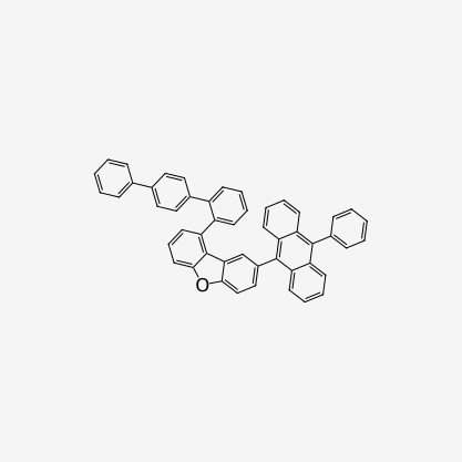 c1ccc(-c2ccc(-c3ccccc3-c3cccc4oc5ccc(-c6c7ccccc7c(-c7ccccc7)c7ccccc67)cc5c34)cc2)cc1